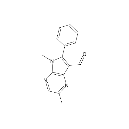 Cc1cnc2c(n1)c(C=O)c(-c1ccccc1)n2C